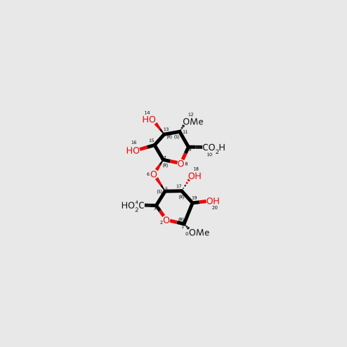 CO[C@@H]1OC(C(=O)O)[C@@H](O[C@@H]2OC(C(=O)O)[C@@H](OC)[C@H](O)C2O)[C@H](O)C1O